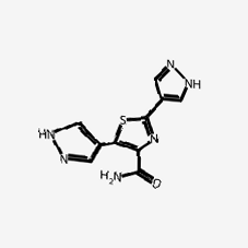 NC(=O)c1nc(-c2cn[nH]c2)sc1-c1cn[nH]c1